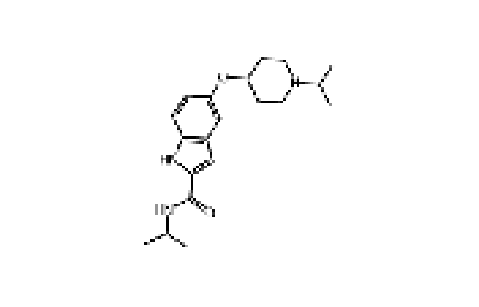 CC(C)NC(=O)c1cc2cc(OC3CCN(C(C)C)CC3)ccc2[nH]1